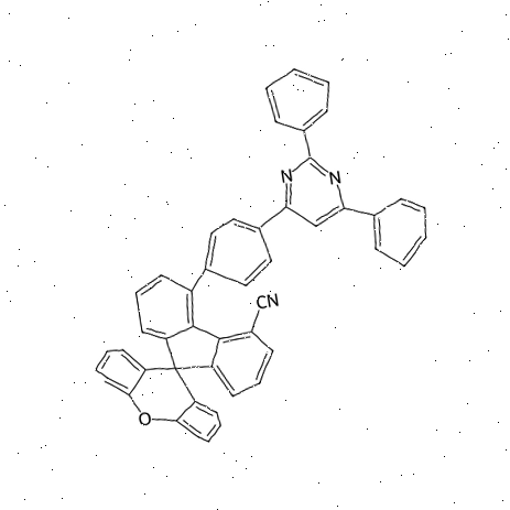 N#Cc1cccc2c1-c1c(-c3ccc(-c4cc(-c5ccccc5)nc(-c5ccccc5)n4)cc3)cccc1C21c2ccccc2Oc2ccccc21